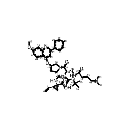 C=C[C@@H]1C[C@]1(NC(=O)[C@@H]1CC(Oc2cc(-c3ccccc3)nc3cc(OC)ccc23)CN1C(=O)[C@H](CNC(=O)C=CCN(C)C)NC(=O)OC(C)(C)C)C(=O)O